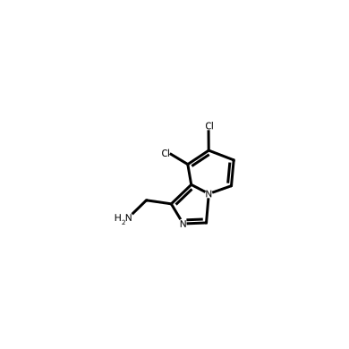 NCc1ncn2ccc(Cl)c(Cl)c12